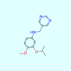 COc1ccc(NCc2cncnc2)cc1OC(C)C